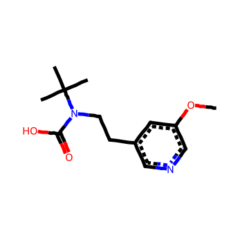 COc1cncc(CCN(C(=O)O)C(C)(C)C)c1